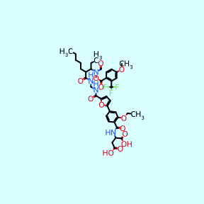 CCCCCC(C(=O)NCNC(=O)c1ccc(-c2ccc(C(=O)NC(CC(=O)O)C(=O)O)c(OCC)c2)o1)C(CC)N(C=O)OC(=O)c1ccc(OC)cc1C(F)(F)F